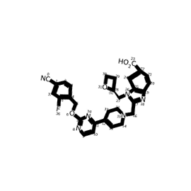 N#Cc1ccc(COc2nccc(C3=CCN(Cc4nc5ccc(C(=O)O)cc5n4C[C@@H]4CCO4)CC3)n2)c(F)c1